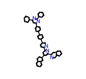 c1ccc(-c2cc(-c3ccc(-c4ccc(-c5ccc(-c6cc(-c7ccc8ccccc8c7)cc(-c7cc8ccccc8cn7)n6)nc5)cc4)cc3)nc(-c3ccccc3)n2)cc1